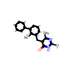 CCCCc1nc(CC)[nH]c(=O)c1Cc1cccc(-c2ccccc2)c1C#N